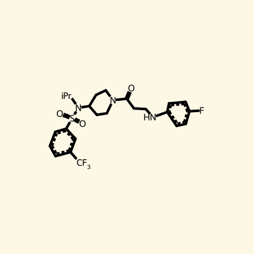 CC(C)N(C1CCN(C(=O)CCNc2ccc(F)cc2)CC1)S(=O)(=O)c1cccc(C(F)(F)F)c1